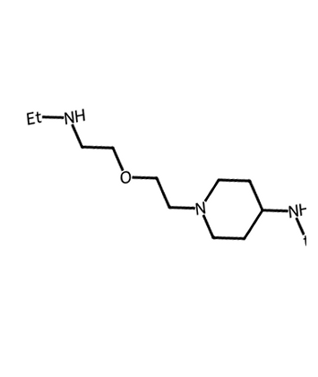 CCNCCOCCN1CCC(NC(C)(C)C)CC1